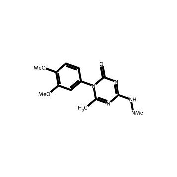 CNNc1nc(C)n(-c2ccc(OC)c(OC)c2)c(=O)n1